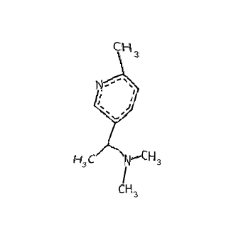 Cc1ccc(C(C)N(C)C)cn1